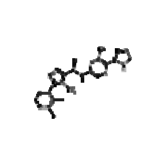 Cc1c(F)cccc1-n1ncc(C(=O)Nc2cnc(N3N=CCN3)c(C#N)c2)c1C(F)(F)F